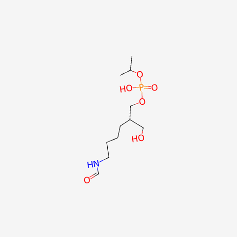 CC(C)OP(=O)(O)OCC(CO)CCCCNC=O